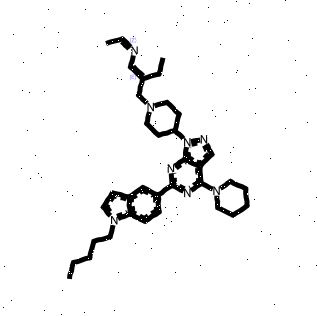 C/C=N\C=C(/CC)CN1CCC(n2ncc3c(N4CCCCC4)nc(-c4ccc5c(ccn5CCCCC)c4)nc32)CC1